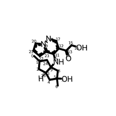 CC1C[C@@H]2CC(C)(O)CC2(Nc2c(C(=O)CO)cnn3cccc23)C1